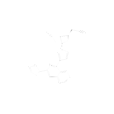 N#CC[C@H]1C[C@@](CC#N)(n2ccc(-c3nc(-c4ccn[nH]4)cc4ncccc34)n2)C1